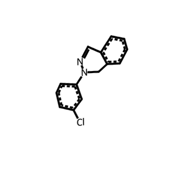 Clc1cccc(N2Cc3ccccc3C=N2)c1